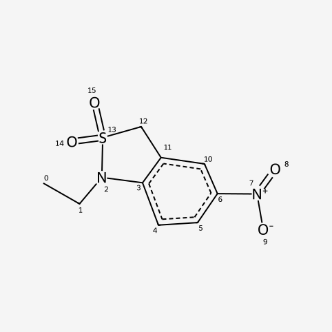 CCN1c2ccc([N+](=O)[O-])cc2CS1(=O)=O